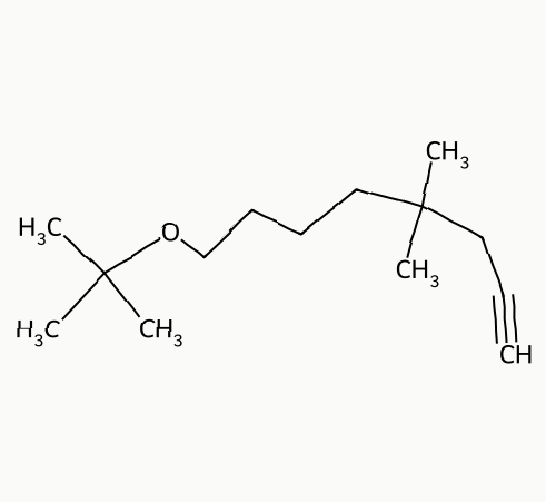 C#CCC(C)(C)CCCCOC(C)(C)C